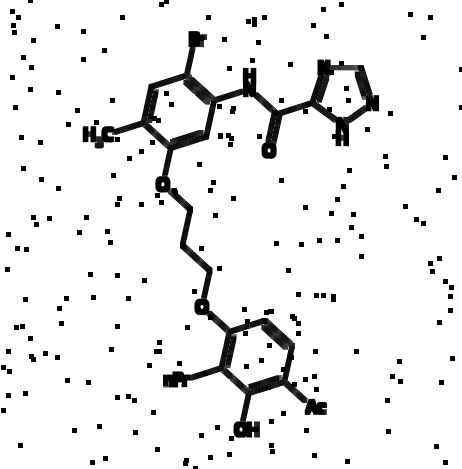 CCCc1c(OCCCOc2cc(NC(=O)c3ncn[nH]3)c(Br)cc2C)ccc(C(C)=O)c1O